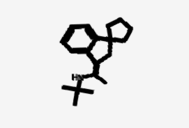 C/C(NC(C)(C)C)=C1\CC2(CCCC2)c2ccccc21